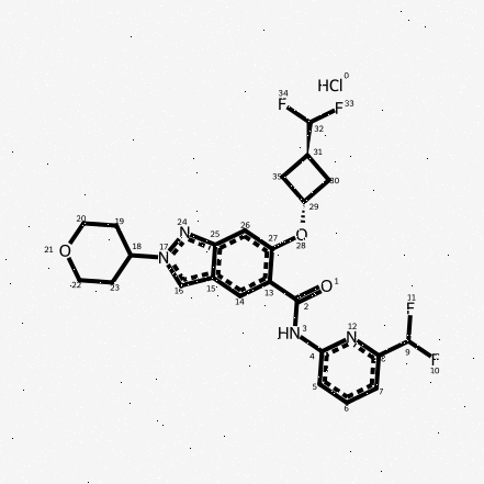 Cl.O=C(Nc1cccc(C(F)F)n1)c1cc2cn(C3CCOCC3)nc2cc1O[C@H]1C[C@H](C(F)F)C1